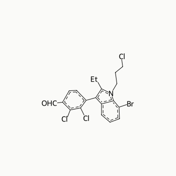 CCc1c(-c2ccc(C=O)c(Cl)c2Cl)c2cccc(Br)c2n1CCCCl